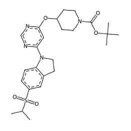 CC(C)S(=O)(=O)c1ccc2c(c1)CCN2c1cc(OC2CCN(C(=O)OC(C)(C)C)CC2)ncn1